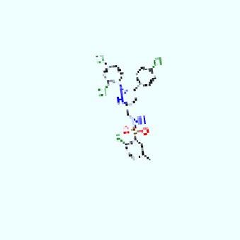 Cc1ccc(F)c(S(=O)(=O)NCC2=NN(c3ccc(Cl)cc3Cl)C(c3ccc(Cl)cc3)C2)c1